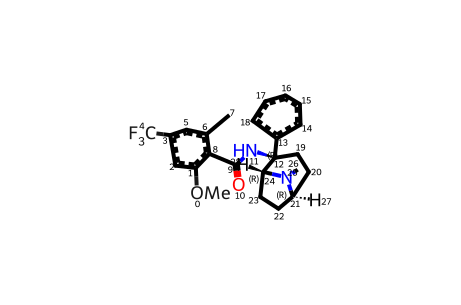 COc1cc(C(F)(F)F)cc(C)c1C(=O)N[C@@]1(c2ccccc2)CC[C@H]2CC[C@H]1N2C